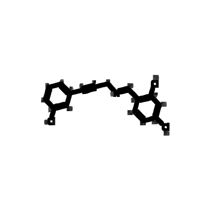 Clc1cccc(C#CCN=Cc2ccc(Cl)cc2Cl)c1